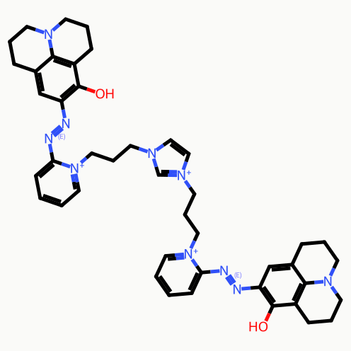 Oc1c(/N=N/c2cccc[n+]2CCCn2cc[n+](CCC[n+]3ccccc3/N=N/c3cc4c5c(c3O)CCCN5CCC4)c2)cc2c3c1CCCN3CCC2